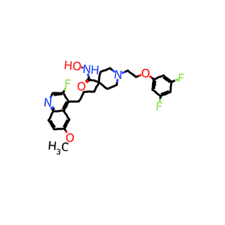 COc1ccc2ncc(F)c(CCCC3(C(=O)NO)CCN(CCOc4cc(F)cc(F)c4)CC3)c2c1